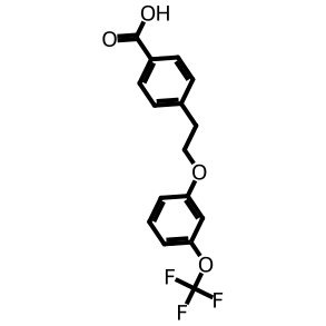 O=C(O)c1ccc(CCOc2cccc(OC(F)(F)F)c2)cc1